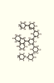 c1cc(-c2ccncc2)cc(-c2cccc(-c3cc(-c4cccc(-c5cccc(-c6ccncc6)n5)c4)cc(-c4cc5ccccc5c5ccccc45)c3)c2)c1